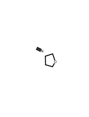 C#N.C1CCOC1